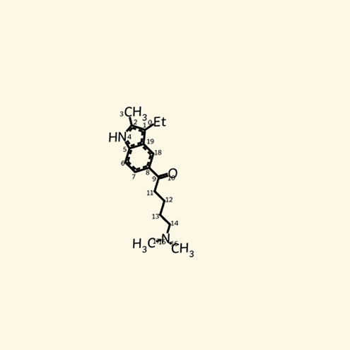 CCc1c(C)[nH]c2ccc(C(=O)CCCCN(C)C)cc12